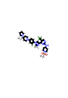 Cc1nc(-c2nc(NC3CCN(S(C)(=O)=O)CC3)ncc2C(F)(F)F)cn1-c1ccc(N2CCC(C)(N3CCCC3)CC2)cc1F